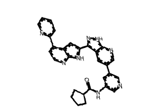 O=C(Nc1cncc(-c2cnc3[nH]nc(-c4cc5c(-c6ccccn6)ccnc5[nH]4)c3c2)c1)C1CCCC1